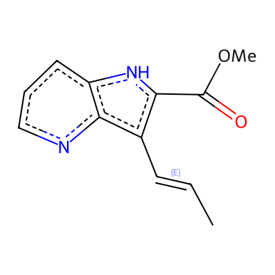 C/C=C/c1c(C(=O)OC)[nH]c2cccnc12